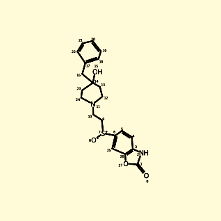 O=c1[nH]c2ccc([S+]([O-])CCN3CCC(O)(Cc4ccccc4)CC3)cc2o1